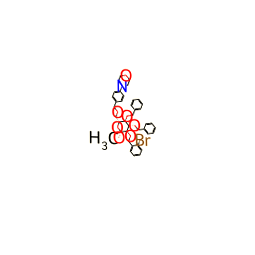 CO[C@@H]1O[C@H](COCc2ccc(N3CCOCC3)cc2)[C@@H](OCc2ccccc2)[C@H](OCc2ccccc2)[C@H]1OCc1ccccc1Br